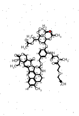 C#CCOCCC(=O)N(C)CC(=O)Nc1cc(COC(=O)N[C@H]2CCc3c(C)c(F)cc4nc5c(c2c34)Cn2c-5cc3c(c2=O)COC(=O)[C@]3(O)CC)ccc1OC(OC(C(=O)OC)[C@H](C)OC(C)=O)C(OC(C)=O)OC(C)=O